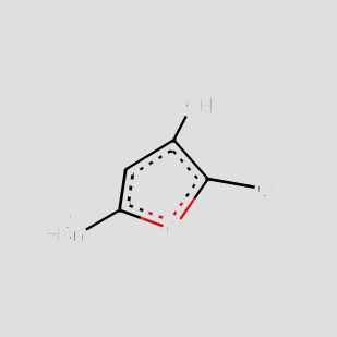 Cc1c[c]([SnH])oc1C